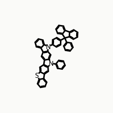 c1ccc(-n2c3cc4c(cc3c3cc5c6ccccc6n(-c6ccc(C7(c8ccccc8)c8ccccc8-c8ccccc87)cc6)c5cc32)sc2ccccc24)cc1